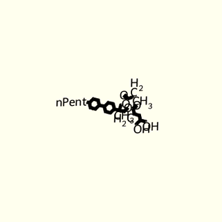 C=C(C)C(=O)OCC(C)(COC(=O)C(=C)CC(CO)CO)C1CCC(C2CCC(CCCCC)CC2)CC1